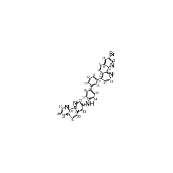 Brc1cnc2c(ccc3c(-c4cccc(-c5ccc(Nc6cnc7c(ccc8cccnc87)c6)cc5)c4)ccnc32)c1